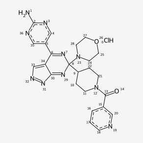 Cl.Nc1ncc(C2=NC(C3CCN(C(=O)c4cccnc4)CC3)(N3CCOCC3)N=C3N=NC=C32)cn1